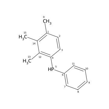 Cc1ccc(Pc2ccccc2)c(C)c1C